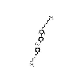 CCCCCCCc1cnc(-c2ccc(OC(=O)c3ccc(CCCCCCC)c(F)c3)cc2)nc1